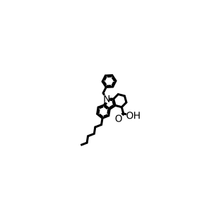 CCCCCCc1ccc2c(c1)c1c(n2Cc2ccccc2)CCCC1C(=O)O